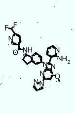 COc1cc(-n2cccn2)nc2c1nc(-c1cccnc1N)n2-c1ccc2c(c1)CC[C@@H]2NC(=O)c1ccc(C(F)F)nc1